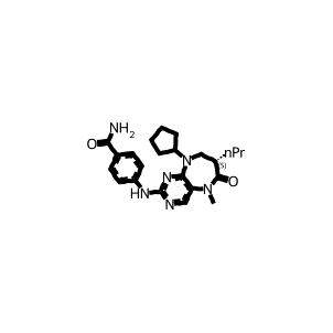 CCC[C@H]1CN(C2CCCC2)c2nc(Nc3ccc(C(N)=O)cc3)ncc2N(C)C1=O